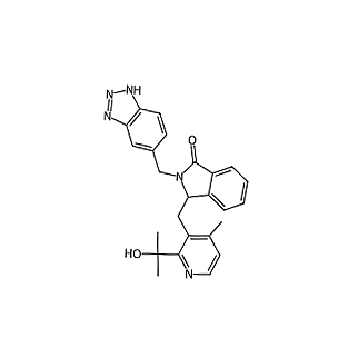 Cc1ccnc(C(C)(C)O)c1CC1c2ccccc2C(=O)N1Cc1ccc2[nH]nnc2c1